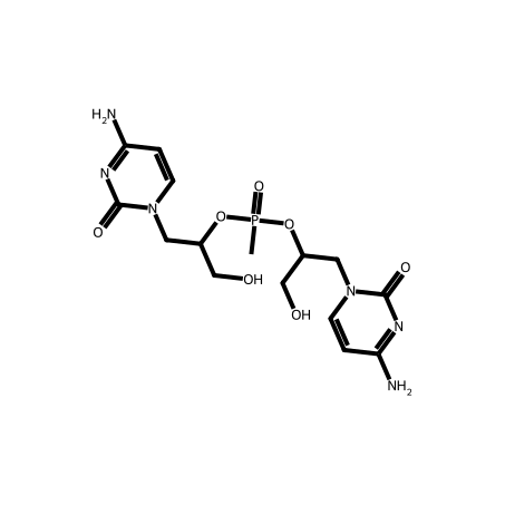 CP(=O)(OC(CO)Cn1ccc(N)nc1=O)OC(CO)Cn1ccc(N)nc1=O